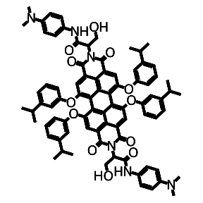 CC(C)c1cccc(Oc2cc3c4c(cc(Oc5cccc(C(C)C)c5)c5c6c(Oc7cccc(C(C)C)c7)cc7c8c(cc(Oc9cccc(C(C)C)c9)c(c2c45)c86)C(=O)N(C(CO)C(=O)Nc2ccc(N(C)C)cc2)C7=O)C(=O)N(C(CO)C(=O)Nc2ccc(N(C)C)cc2)C3=O)c1